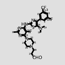 Cc1nc(Nc2nc(-c3cc(F)cc(C(F)(F)F)c3)c(N(C)C)s2)c(F)c(N2CCN(CCC=O)CC2)n1